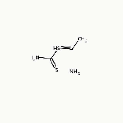 CC=[SH]C(N)=S.N